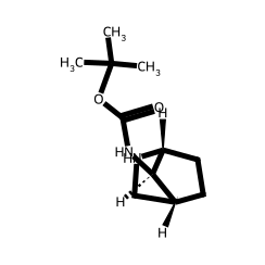 CC(C)(C)OC(=O)N[C@@H]1[C@@H]2CC[C@H]1NC2